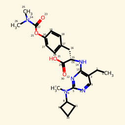 CCc1cnc(N(C)C2CCC2)nc1N[C@@H](Cc1ccc(OC(=O)N(C)C)cc1)C(=O)O